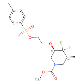 Cc1ccc(S(=O)(=O)OCCO[C@@H]2CN(C(=O)OC(C)(C)C)C[C@H](C)C2(F)F)cc1